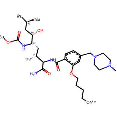 CCCC[C@@H](C[C@H](O)[C@H](C[C@@H](C(C)C)C(NC(=O)c1ccc(CN2CCN(C)CC2)cc1OCCCCOC)C(N)=O)NC(=O)OC(C)(C)C)C(C)C